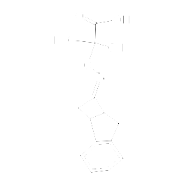 CC(C)(O/N=C1\CC2c3ccccc3CC12)C(=O)O